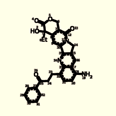 CC[C@@]1(O)C(=O)OCc2c1cc1n(c2=O)Cc2cc3c(N)ccc(CCC(=O)c4ccccc4)c3nc2-1